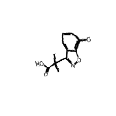 CC(C)(C(=O)O)c1noc2c(Cl)cccc12